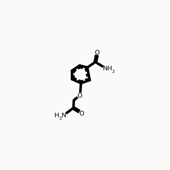 NC(=O)COc1c[c]cc(C(N)=O)c1